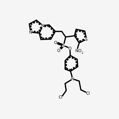 O=[N+]([O-])c1sccc1C(Cc1ccc2nccn2c1)S(=O)(=O)Oc1ccc(N(CCCl)CCCl)cc1